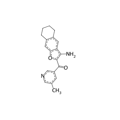 Cc1cncc(C(=O)c2oc3cc4c(cc3c2N)CCCC4)c1